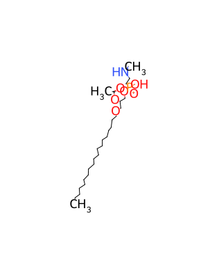 CCCCCCCCCCCCCCCCCCCOCC(COP(=O)(O)CCNC)OC(C)=O